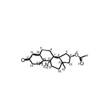 CC(=O)O[C@@H]1CC2=C3CCC4=CC(=O)CCC4[C@@]3(N)CCC2(C)C1